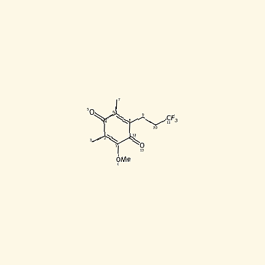 COC1=C(C)C(=O)C(C)=C(CCC(F)(F)F)C1=O